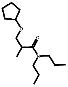 CCCN(CCC)C(=O)C(C)COC1CCCC1